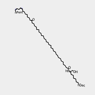 CCCCC/C=C\C/C=C\CCCCCCCC(=O)CCCCCCCCCCCCCCCCCCCCCCCCCCCCCC(=O)N[C@@H](CO)CCCCCCCCCCCCCCCC